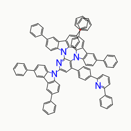 c1ccc(-c2ccc3c(c2)c2cc(-c4ccccc4)ccc2n3-c2cc(-c3ccc(-c4cccc(-c5ccccc5)n4)cc3)c(-n3c4ccc(-c5ccccc5)cc4c4cc(-c5ccccc5)ccc43)c(-n3c4ccc(-c5ccccc5)cc4c4cc(-c5ccccc5)ccc43)n2)cc1